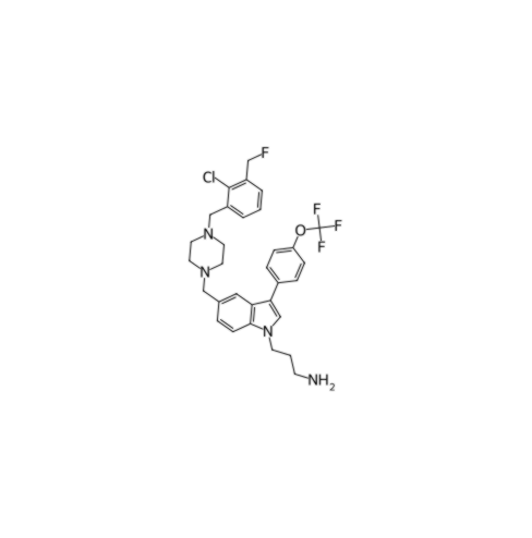 NCCCn1cc(-c2ccc(OC(F)(F)F)cc2)c2cc(CN3CCN(Cc4cccc(CF)c4Cl)CC3)ccc21